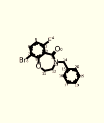 O=C1c2c(F)ccc(Br)c2OCCN1Cc1ccccc1